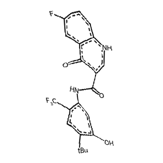 CC(C)(C)c1cc(C(F)(F)F)c(NC(=O)c2c[nH]c3ccc(F)cc3c2=O)cc1O